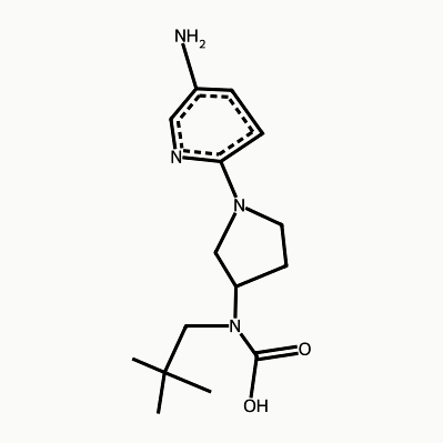 CC(C)(C)CN(C(=O)O)C1CCN(c2ccc(N)cn2)C1